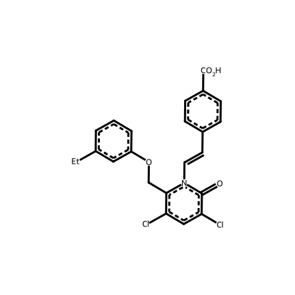 CCc1cccc(OCc2c(Cl)cc(Cl)c(=O)n2C=Cc2ccc(C(=O)O)cc2)c1